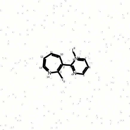 IC1=C(c2nccc[n+]2I)C=CC=C=N1